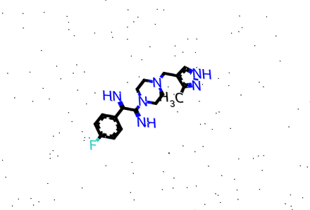 Cc1n[nH]cc1CN1CCN(C(=N)C(=N)c2ccc(F)cc2)CC1